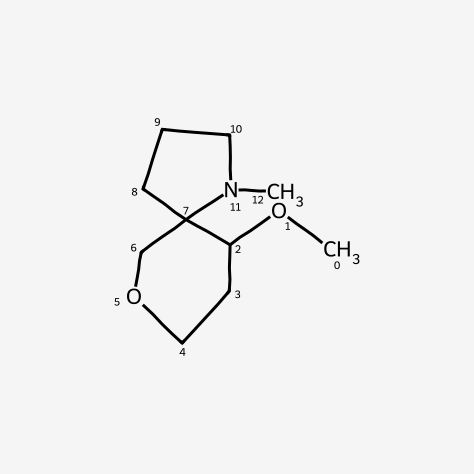 COC1CCOCC12CCCN2C